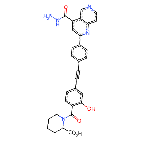 NNC(=O)c1cc(-c2ccc(C#Cc3ccc(C(=O)N4CCCCC4C(=O)O)c(O)c3)cc2)nc2ccncc12